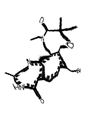 Cc1nc2c3c(c(Br)cc2c(=O)[nH]1)OC(C)(C)C(=O)N3C